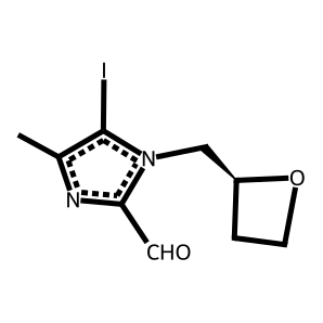 Cc1nc(C=O)n(C[C@@H]2CCO2)c1I